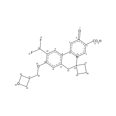 O=C(O)c1cn2c(cc1=O)-c1cc(C(F)F)c(OCC3COC3)cc1CC21CCC1